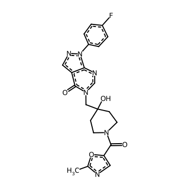 Cc1ncc(C(=O)N2CCC(O)(Cn3cnc4c(cnn4-c4ccc(F)cc4)c3=O)CC2)o1